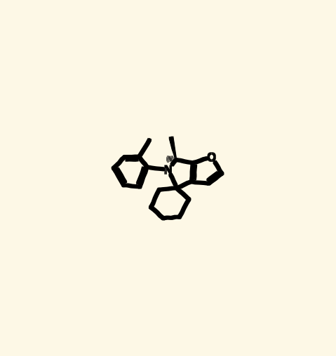 Cc1ccccc1N1[C@@H](C)c2occc2C12CCCCC2